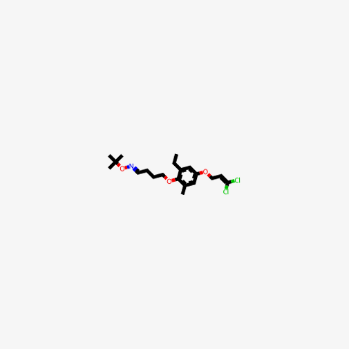 CCc1cc(OCC=C(Cl)Cl)cc(C)c1OCCCC=NOC(C)(C)C